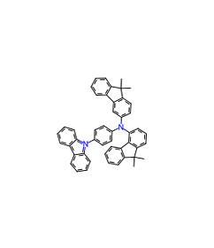 CC1(C)c2ccccc2-c2cc(N(c3ccc(-n4c5ccccc5c5ccccc54)cc3)c3cccc4c3-c3ccccc3C4(C)C)ccc21